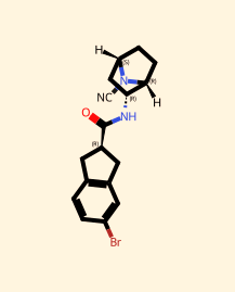 N#CN1[C@H]2CC[C@@H]1[C@H](NC(=O)[C@@H]1Cc3ccc(Br)cc3C1)C2